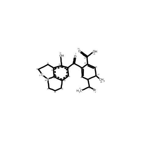 CC(Br)C1C=C(C(=O)c2cc3c4c(c2O)CCCN4CCC3)C(C(=O)O)=CC1C